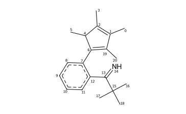 CC1=C(C)C(C)C(c2ccccc2C(=N)C(C)(C)C)=C1C